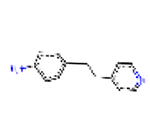 Nc1ccc(CCc2ccncc2)cc1